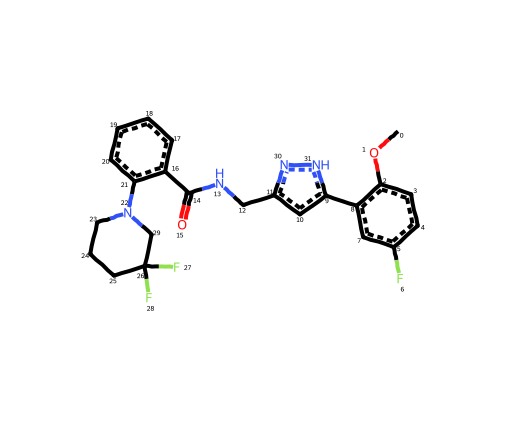 COc1ccc(F)cc1-c1cc(CNC(=O)c2ccccc2N2CCCC(F)(F)C2)n[nH]1